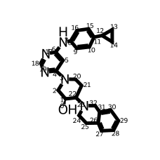 O[C@H]1CN(c2cc(Nc3ccc(C4CC4)cc3)ncn2)CCC1N1CCc2ccccc2C1